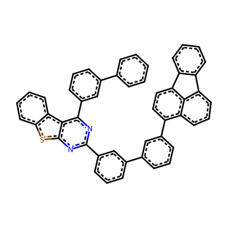 c1ccc(-c2cccc(-c3nc(-c4cccc(-c5cccc(-c6ccc7c8c(cccc68)-c6ccccc6-7)c5)c4)nc4sc5ccccc5c34)c2)cc1